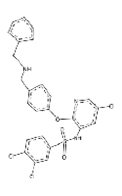 O=S(=O)(Nc1cc(Cl)cnc1Oc1ccc(CNCc2ccccc2)cc1)c1ccc(Cl)c(Cl)c1